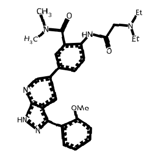 CCN(CC)CC(=O)Nc1ccc(-c2cnc3[nH]nc(-c4ccccc4OC)c3c2)cc1C(=O)N(C)C